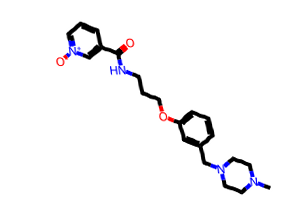 CN1CCN(Cc2cccc(OCCCNC(=O)c3ccc[n+]([O-])c3)c2)CC1